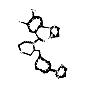 Cc1cc(-n2nccn2)c(C(=O)N2CCOCC2Cc2cccc(-n3nccn3)c2)cc1Cl